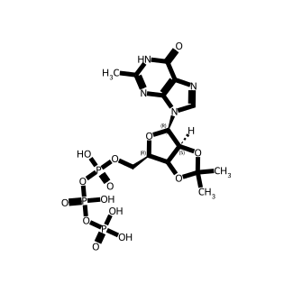 Cc1nc2c(ncn2[C@@H]2O[C@H](COP(=O)(O)OP(=O)(O)OP(=O)(O)O)C3OC(C)(C)O[C@@H]32)c(=O)[nH]1